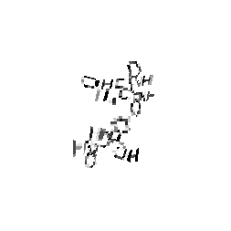 CC(c1[nH]c2ccccc2c1C=O)c1c[nH]c2ccc(-c3ccc4[nH]c(Cc5c[nH]c6ccccc56)c(CO)c4c3)cc12